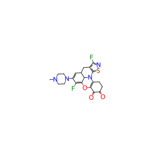 CN1CCN(C2=CC3Cc4c(F)nsc4N4C5=C(OC(=C2F)C34)C(=O)C(=O)CC5)CC1